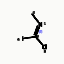 C/N=C(/Cl)I